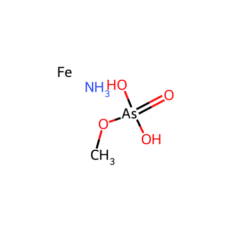 CO[As](=O)(O)O.N.[Fe]